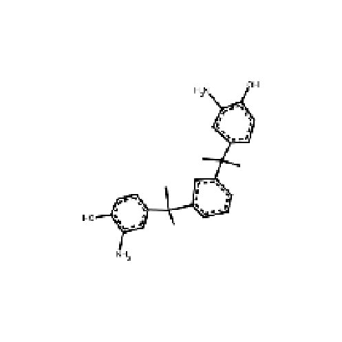 CC(C)(c1cccc(C(C)(C)c2ccc(O)c(N)c2)c1)c1ccc(O)c(N)c1